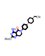 COc1nc(N)c2c(n1)CCN(c1ccc([C@H]3CC[C@H](CC#N)CC3)cc1)C2=O